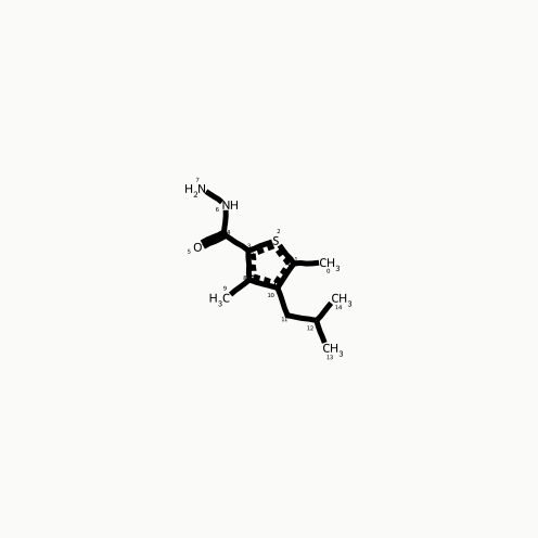 Cc1sc(C(=O)NN)c(C)c1CC(C)C